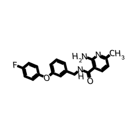 Cc1ccc(C(=O)NCc2cccc(Oc3ccc(F)cc3)c2)c(N)n1